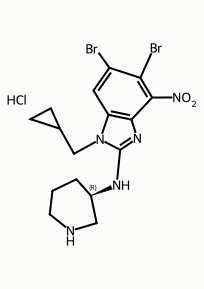 Cl.O=[N+]([O-])c1c(Br)c(Br)cc2c1nc(N[C@@H]1CCCNC1)n2CC1CC1